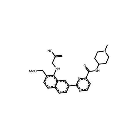 C=C(C#N)CNc1c(COC)ccc2ccc(-c3nccc(C(=O)NC4CCN(C)CC4)n3)cc12